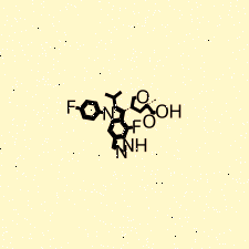 CC(C)c1c([C@@H]2CO[C@@](C)(C(=O)O)C2)c2c(F)c3[nH]ncc3cc2n1-c1ccc(F)cc1